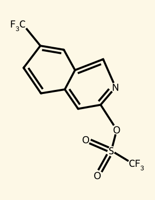 O=S(=O)(Oc1cc2ccc(C(F)(F)F)cc2cn1)C(F)(F)F